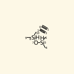 C#C.C#C.C[SiH](C)O[SiH](C)C